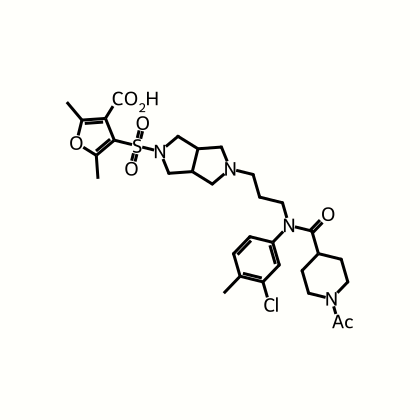 CC(=O)N1CCC(C(=O)N(CCCN2CC3CN(S(=O)(=O)c4c(C)oc(C)c4C(=O)O)CC3C2)c2ccc(C)c(Cl)c2)CC1